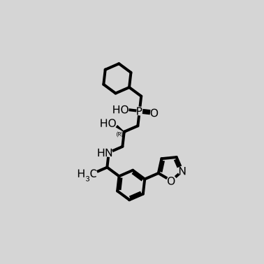 CC(NC[C@@H](O)CP(=O)(O)CC1CCCCC1)c1cccc(-c2ccno2)c1